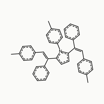 Cc1ccc(C=C(c2ccccc2)c2ccc(C(=Cc3ccc(C)cc3)c3ccccc3)n2-c2ccc(C)cc2)cc1